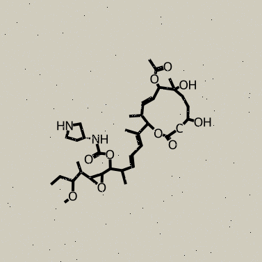 CCC(OC)C(C)C1OC1C(OC(=O)N[C@@H]1CCNC1)C(C)/C=C/C=C(\C)C1OC(=O)CC(O)CCC(C)(O)C(OC(C)=O)/C=C/C1C